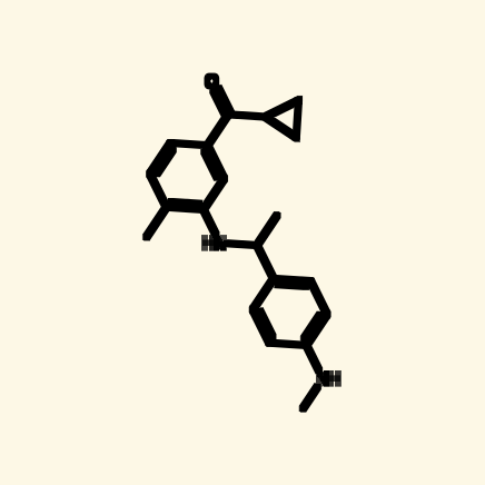 CNc1ccc(C(C)Nc2cc(C(=O)C3CC3)ccc2C)cc1